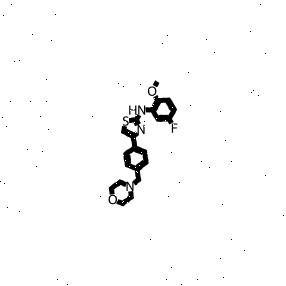 COc1ccc(F)cc1Nc1nc(-c2ccc(CN3CCOCC3)cc2)cs1